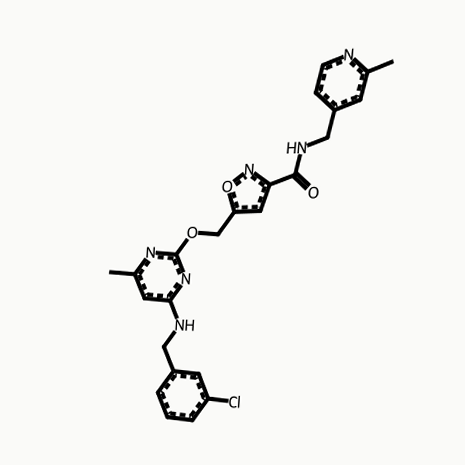 Cc1cc(CNC(=O)c2cc(COc3nc(C)cc(NCc4cccc(Cl)c4)n3)on2)ccn1